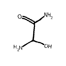 NC(=O)C(N)O